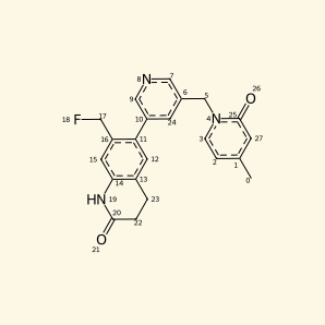 Cc1ccn(Cc2cncc(-c3cc4c(cc3CF)NC(=O)CC4)c2)c(=O)c1